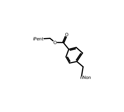 CCCCCCCCCCc1ccc(C(=O)OCC(C)CCC)cc1